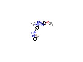 CC(C)c1ccccc1NC(=S)N/N=C/c1ccc2c(NC(=N)c3ccc(OC(F)(F)F)cc3)nn(C)c2c1